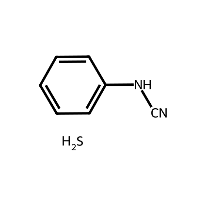 N#CNc1ccccc1.S